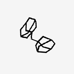 [CH](C12CC3CC(CC(C3)C1)C2)C12CC3CC(CC(C3)C1)C2